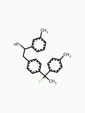 CCCC(Cc1ccc(C(C)(F)c2ccc(C)cc2)cc1)c1cccc(C)c1